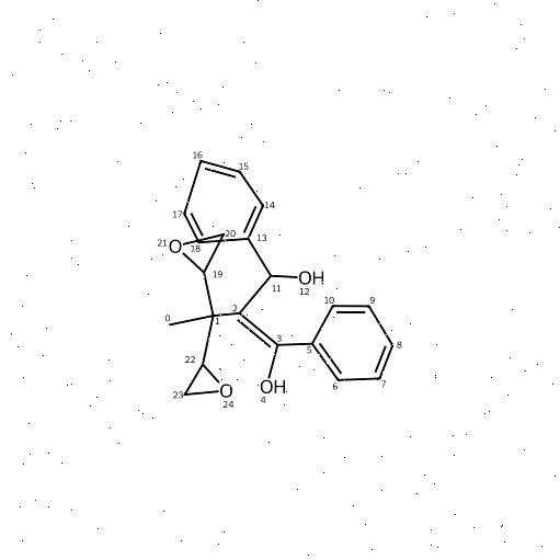 CC(C(=C(O)c1ccccc1)C(O)c1ccccc1)(C1CO1)C1CO1